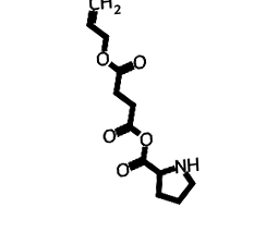 C=CCOC(=O)CCC(=O)OC(=O)C1CCCN1